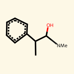 CNC(O)C(C)c1ccccc1